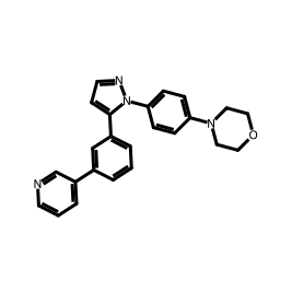 c1cncc(-c2cccc(-c3ccnn3-c3ccc(N4CCOCC4)cc3)c2)c1